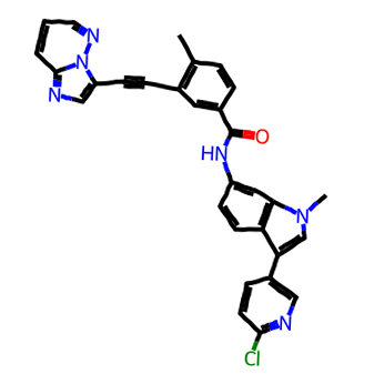 Cc1ccc(C(=O)Nc2ccc3c(-c4ccc(Cl)nc4)cn(C)c3c2)cc1C#Cc1cnc2cccnn12